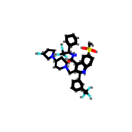 CS(=O)(=O)c1ccc2nc(-c3cccc(C(F)(F)F)c3)c(CN3CCC(N4CC[C@H](F)C4)CC3)c(C(=O)NC(c3ccccc3)C(F)(F)F)c2c1